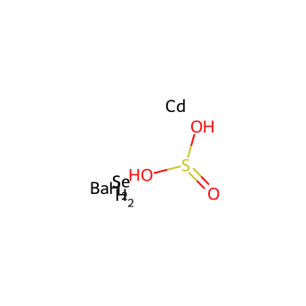 O=S(O)O.[BaH2].[Cd].[SeH2]